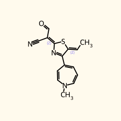 C/C=c1\s/c(=C(/C#N)C=O)nc1C1=CC=CN(C)C=C1